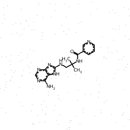 CC(C)(CNc1nc2ncnc(N)c2[nH]1)NC(=O)c1cccnc1